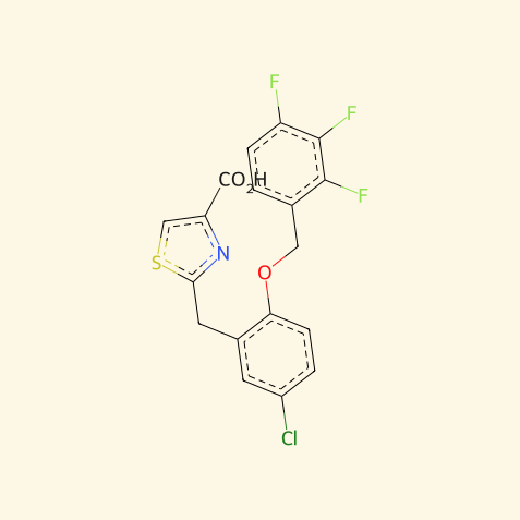 O=C(O)c1csc(Cc2cc(Cl)ccc2OCc2ccc(F)c(F)c2F)n1